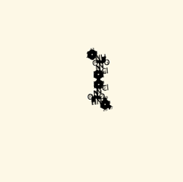 CC(=O)C(N=Nc1ccc(-c2ccc(N=NC(C(C)=O)C(=O)Nc3ccc(C)cc3C)c(Cl)c2)cc1Cl)C(=O)Nc1ccccc1